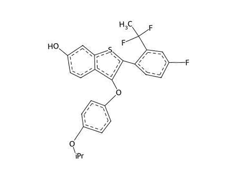 CC(C)Oc1ccc(Oc2c(-c3ccc(F)cc3C(C)(F)F)sc3cc(O)ccc23)cc1